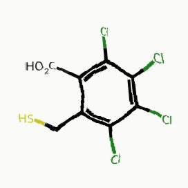 O=C(O)c1c(Cl)c(Cl)c(Cl)c(Cl)c1CS